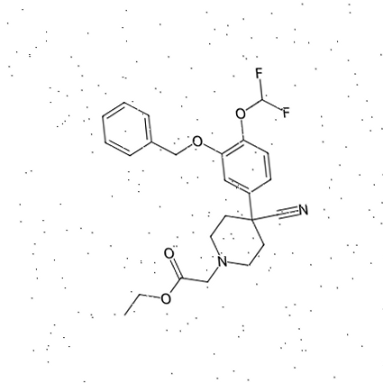 CCOC(=O)CN1CCC(C#N)(c2ccc(OC(F)F)c(OCc3ccccc3)c2)CC1